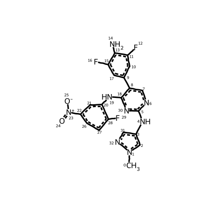 Cn1cc(Nc2ncc(-c3cc(F)c(N)c(F)c3)c(Nc3cc([N+](=O)[O-])ccc3F)n2)cn1